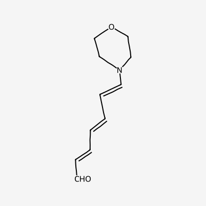 O=CC=CC=CC=CN1CCOCC1